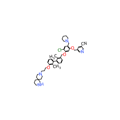 Cc1c(COc2cc(OCc3cncc(C#N)c3)c(CN3CCCCC3)cc2Cl)cccc1-c1cccc(OCCCN2CCC3(CCCNC3)CC2)c1C